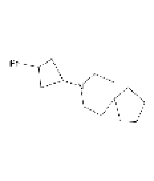 CC(C)C1CC(N2CCC3(CCCC3)CC2)C1